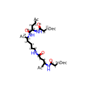 CCCCCCCCCCCC(=O)NC(CCC(=O)NCCCCC(NC(=O)C(CCC(C)=O)NC(=O)CCCCCCCCCCC)C(C)=O)C(C)=O